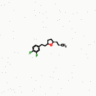 CCCC1CCC(CCc2ccc(F)c(F)c2)O1